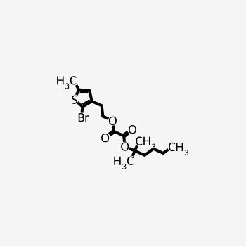 CCCCC(C)(C)OC(=O)C(=O)OCCc1cc(C)sc1Br